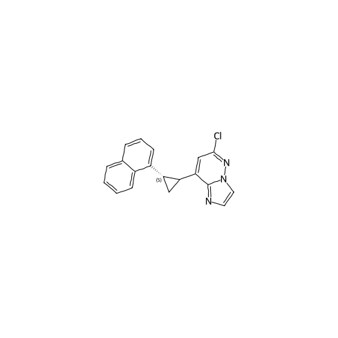 Clc1cc(C2C[C@@H]2c2cccc3ccccc23)c2nccn2n1